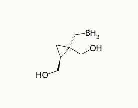 BC[C@@]1(CO)C[C@@H]1CO